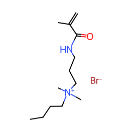 C=C(C)C(=O)NCCC[N+](C)(C)CCCC.[Br-]